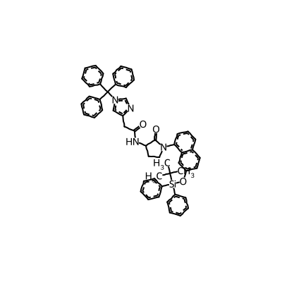 CC(C)(C)[Si](Oc1ccc2cccc(N3CCC(NC(=O)Cc4cn(C(c5ccccc5)(c5ccccc5)c5ccccc5)cn4)C3=O)c2c1)(c1ccccc1)c1ccccc1